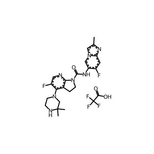 Cc1cn2cc(NC(=O)N3CCc4c3ncc(F)c4N3CCNC(C)(C)C3)c(F)cc2n1.O=C(O)C(F)(F)F